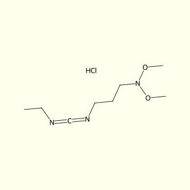 CCN=C=NCCCN(OC)OC.Cl